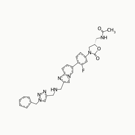 CC(=O)NC[C@H]1CN(c2ccc(-c3ccc4nc(CNCc5cn(Cc6ccccc6)nn5)cn4c3)c(F)c2)C(=O)O1